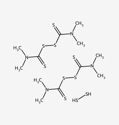 CN(C)C(=S)SSC(=S)N(C)C.CN(C)C(=S)SSC(=S)N(C)C.SS